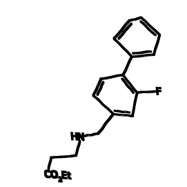 CCOC(=O)CCNCc1ccc(-c2ccccc2)c(F)c1